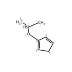 C[SiH](C)OC1=[C]CC=C1